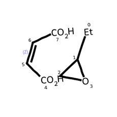 CCC1CO1.O=C(O)/C=C\C(=O)O